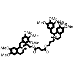 COc1cc2c(cc1OC)C(Cc1cc(OC)c(OC)c(OC)c1)[N+](C)(CCCOC(=O)CCC(=O)OCCC[N+]1(C)CCc3cc(OC)c(OC)cc3C1Cc1cc(OC)c(OC)c(OC)c1)CC2